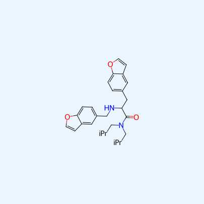 CC(C)CN(CC(C)C)C(=O)C(Cc1ccc2occc2c1)NCc1ccc2occc2c1